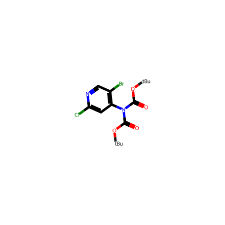 CC(C)(C)OC(=O)N(C(=O)OC(C)(C)C)c1cc(Cl)ncc1Br